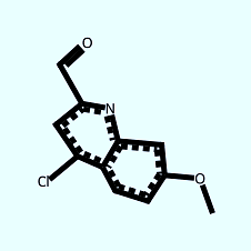 COc1ccc2c(Cl)cc(C=O)nc2c1